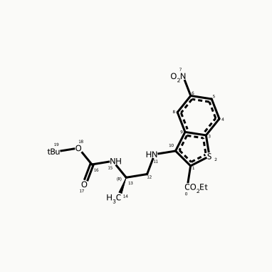 CCOC(=O)c1sc2ccc([N+](=O)[O-])cc2c1NC[C@@H](C)NC(=O)OC(C)(C)C